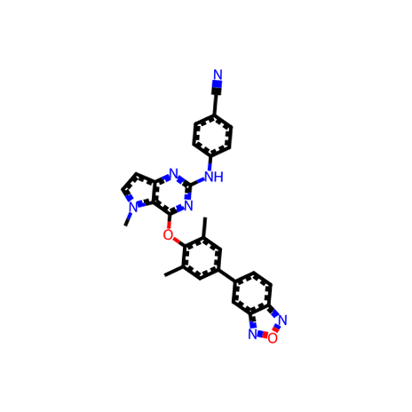 Cc1cc(-c2ccc3nonc3c2)cc(C)c1Oc1nc(Nc2ccc(C#N)cc2)nc2ccn(C)c12